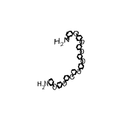 Nc1cccc(Oc2ccc(Oc3cccc(Oc4cccc(Oc5ccc(Oc6cccc(Oc7cccc(Oc8ccc(Oc9cccc(N)c9)cc8)c7)c6)cc5)c4)c3)cc2)c1